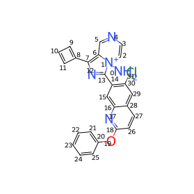 N[N+]12C=CN=CC1=C(C1=CC=C1)N=C2c1cc2nc(Oc3ccccc3)ccc2cc1Cl